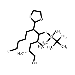 C[C@@H](CO)C[C@H](C)C(O[Si](C)(C)C(C)(C)C)C(CCCCCl)C1OCCO1